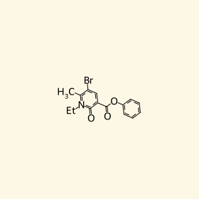 CCn1c(C)c(Br)cc(C(=O)Oc2ccccc2)c1=O